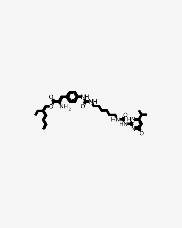 CCCCC(CC)COC(=O)/C(N)=C/c1ccc(NC(=O)NCCCCCCNC(=O)Nc2nc(=O)cc(C(C)C)[nH]2)cc1